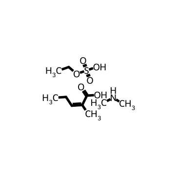 CCC=C(C)C(=O)O.CCOS(=O)(=O)O.CNC